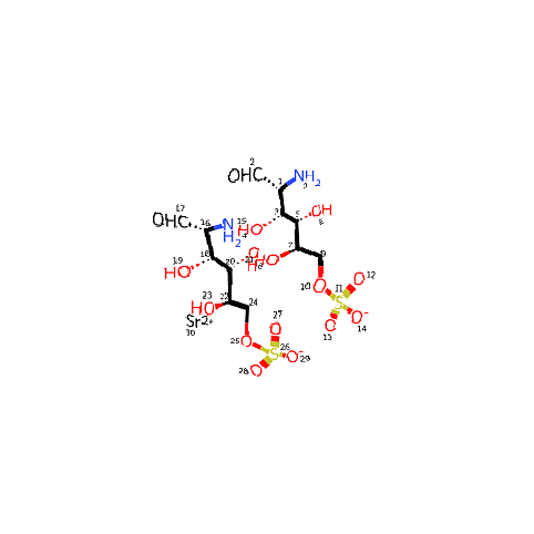 N[C@@H](C=O)[C@@H](O)[C@H](O)[C@H](O)COS(=O)(=O)[O-].N[C@@H](C=O)[C@@H](O)[C@H](O)[C@H](O)COS(=O)(=O)[O-].[Sr+2]